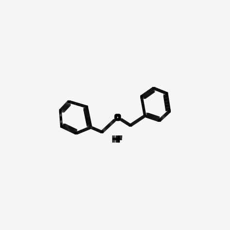 F.c1ccc(COCc2ccccc2)cc1